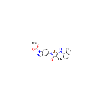 CC(C)(C)OC(=O)n1ncc2cc(-n3sc(Nc4ccccc4C(F)(F)F)c(C#N)c3=O)ccc21